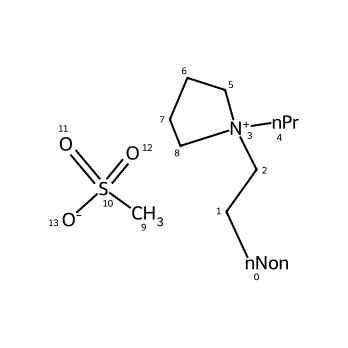 CCCCCCCCCCC[N+]1(CCC)CCCC1.CS(=O)(=O)[O-]